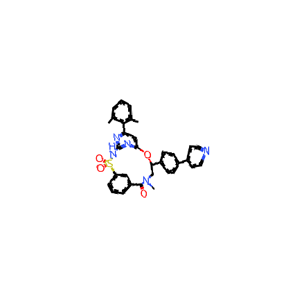 Cc1cccc(C)c1-c1cc2nc(n1)NS(=O)(=O)c1cccc(c1)C(=O)N(C)CC(c1ccc(-c3ccncc3)cc1)O2